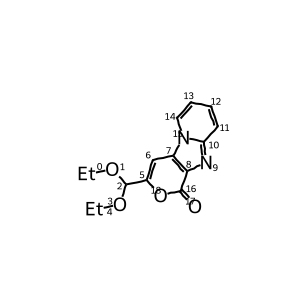 CCOC(OCC)c1cc2c(nc3ccccn32)c(=O)o1